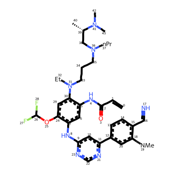 C=CC(=O)Nc1cc(Nc2cc(-c3ccc(C=N)c(NC)c3)ncn2)c(OC(F)F)cc1N(CC)CCCN(CCC)C[C@H](C)N(C)C